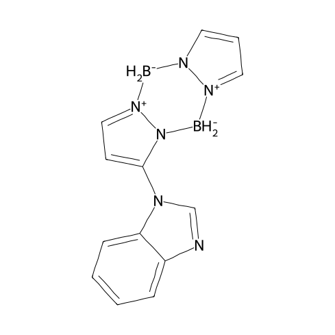 [BH2-]1n2c(-n3cnc4ccccc43)cc[n+]2[BH2-]n2ccc[n+]21